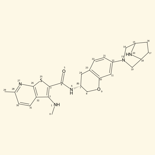 CNc1c(C(=O)N[C@H]2COc3cc(N4CC5CCC(C4)N5)ccc3C2)sc2nc(C)ccc12